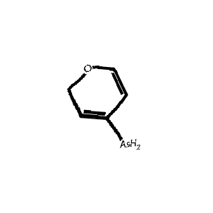 [AsH2]C1=CCOC=C1